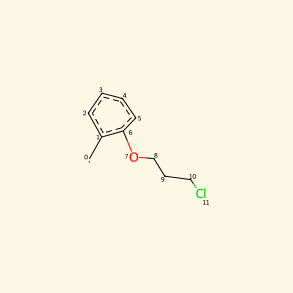 [CH2]c1ccccc1OCCCCl